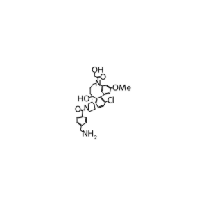 COc1cc2cc(c1)N(C(=O)CO)CCCC(O)([C@@H]1CCCN(C(=O)c3ccc(CN)cc3)C1)c1cccc(Cl)c1-2